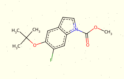 COC(=O)n1ccc2cc(OC(C)(C)C)c(F)cc21